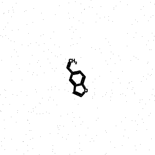 C=Cc1ccc2oc[c]c2c1